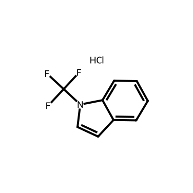 Cl.FC(F)(F)n1ccc2ccccc21